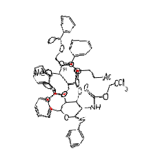 COC(C(OC(=O)c1ccccc1)C(OC(=O)c1ccccc1)OC1C(NC(=O)OCC(Cl)(Cl)Cl)C(Sc2ccccc2)OC2COC(c3ccccc3)OC21)[C@@H](COC(=O)c1ccccc1)OC(=O)CCC(C)=O